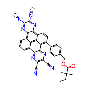 [C-]#[N+]c1nc2c3cccc4c5nc(C#N)c(C#N)nc5c5c(-c6ccc(COC(=O)C(C)(C)CC)cc6)ccc(c2nc1[N+]#[C-])c5c34